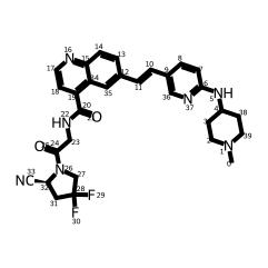 CN1CCC(Nc2ccc(/C=C/c3ccc4nccc(C(=O)NCC(=O)N5CC(F)(F)C[C@H]5C#N)c4c3)cn2)CC1